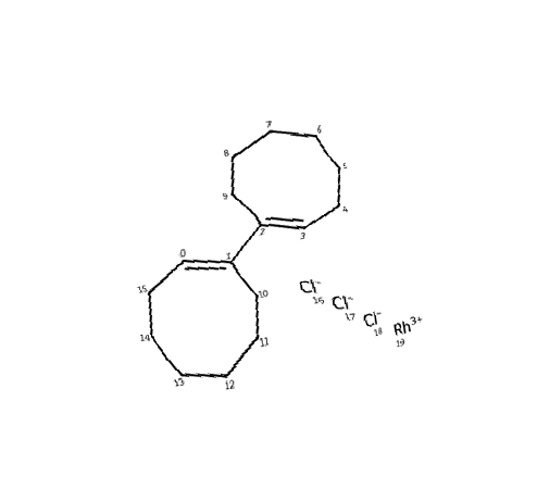 C1=C(C2=CCCCCCC2)CCCCCC1.[Cl-].[Cl-].[Cl-].[Rh+3]